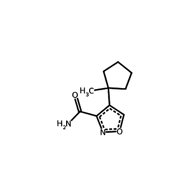 CC1(c2conc2C(N)=O)CCCC1